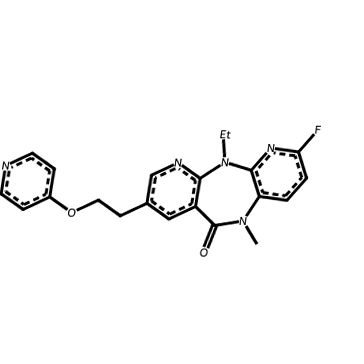 CCN1c2ncc(CCOc3ccncc3)cc2C(=O)N(C)c2ccc(F)nc21